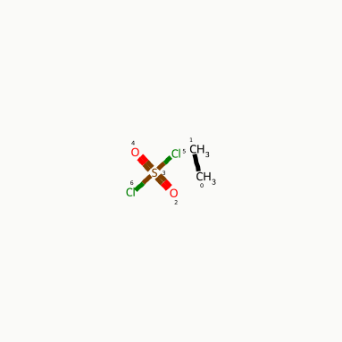 CC.O=S(=O)(Cl)Cl